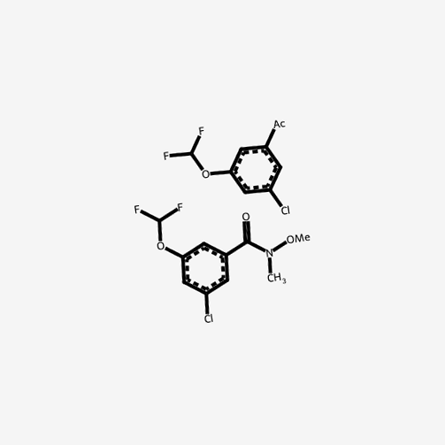 CC(=O)c1cc(Cl)cc(OC(F)F)c1.CON(C)C(=O)c1cc(Cl)cc(OC(F)F)c1